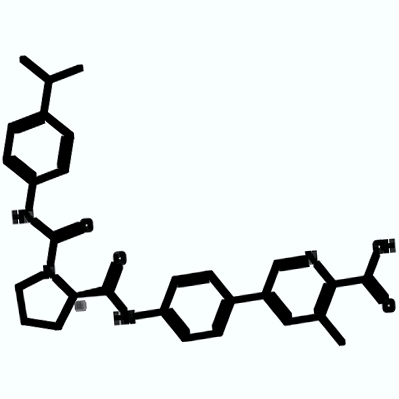 Cc1cc(-c2ccc(NC(=O)[C@H]3CCCN3C(=O)Nc3ccc(C(C)C)cc3)cc2)cnc1C(=O)O